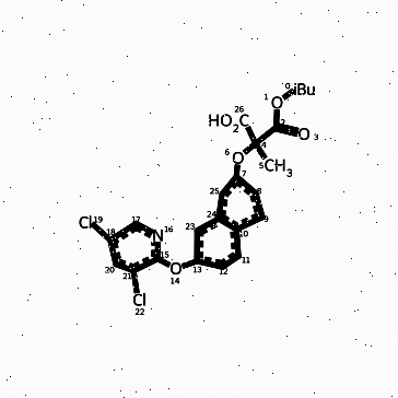 CCC(C)OC(=O)C(C)(Oc1ccc2ccc(Oc3ncc(Cl)cc3Cl)cc2c1)C(=O)O